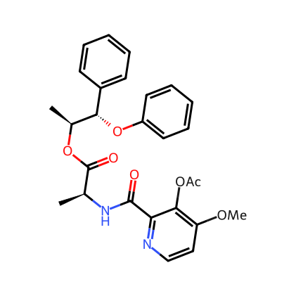 COc1ccnc(C(=O)N[C@@H](C)C(=O)O[C@@H](C)[C@@H](Oc2ccccc2)c2ccccc2)c1OC(C)=O